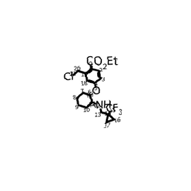 CCOC(=O)c1ccc(O[C@H]2CCCC[C@@H]2NCC2(C(F)(F)F)CC2)cc1CCl